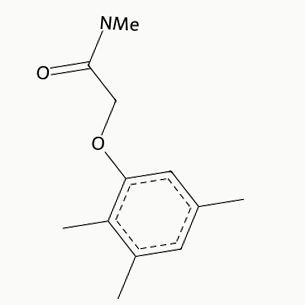 CNC(=O)COc1cc(C)cc(C)c1C